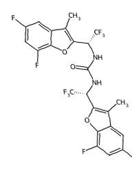 Cc1c([C@@H](NC(=O)N[C@H](c2oc3c(F)cc(F)cc3c2C)C(F)(F)F)C(F)(F)F)oc2c(F)cc(F)cc12